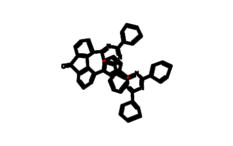 O=C1c2cccc(-c3cccc(-c4nc(-c5ccccc5)nc(-c5ccccc5)n4)c3)c2-c2c1cccc2-c1nc(-c2ccccc2)nc(-c2ccccc2)n1